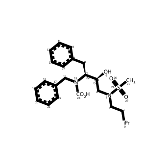 CC(C)CCN(C[C@H](O)[C@H](Cc1ccccc1)N(Cc1ccccc1)C(=O)O)S(C)(=O)=O